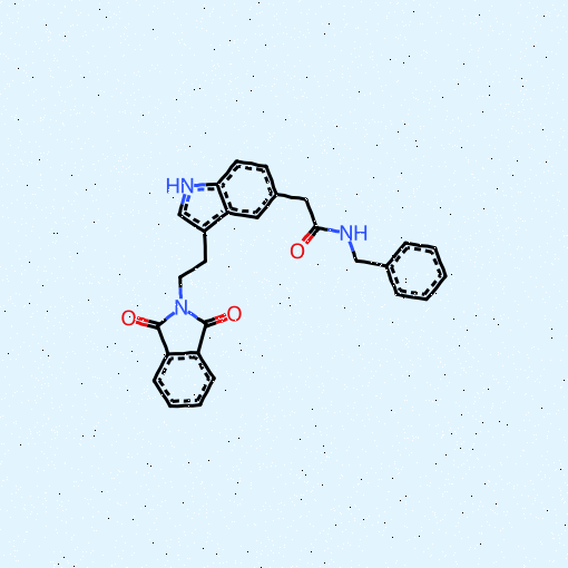 O=C(Cc1ccc2[nH]cc(CCN3C(=O)c4ccccc4C3=O)c2c1)NCc1ccccc1